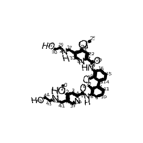 COc1cc(C(=O)Nc2cccc(-c3cccc(NC(=O)c4cc(OC)c(CNCCO)cn4)c3Cl)c2C)ncc1CNCCO